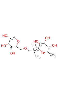 CC1O[C@@H](C(C)(C)COCC2OC[C@@H](O)C(O)[C@H]2O)[C@@H](O)C(O)[C@@H]1O